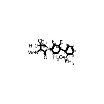 CNC1C(=O)N(c2ccc(-c3ccccc3P(C)C)c(F)c2F)CC1(C)C